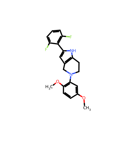 COc1ccc(OC)c(N2CCc3[nH]c(-c4c(F)cccc4F)cc3C2)c1